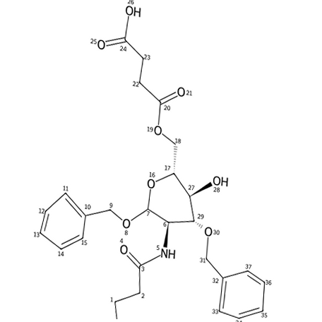 CCCC(=O)N[C@H]1C(OCc2ccccc2)O[C@H](COC(=O)CCC(=O)O)[C@@H](O)[C@@H]1OCc1ccccc1